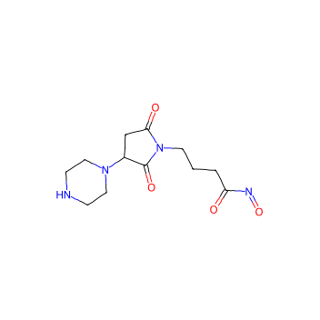 O=NC(=O)CCCN1C(=O)CC(N2CCNCC2)C1=O